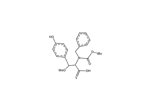 COC(c1ccc(O)cc1)C(C(O)=S)N(Cc1ccccc1)C(=O)OC(C)(C)C